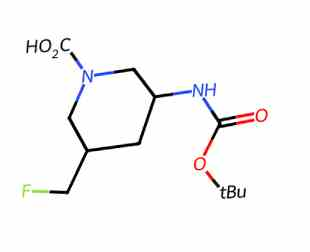 CC(C)(C)OC(=O)NC1CC(CF)CN(C(=O)O)C1